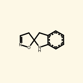 C1=NOC2(C1)Cc1ccccc1N2